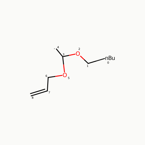 [CH2]CCCCOC([CH2])OCC=C